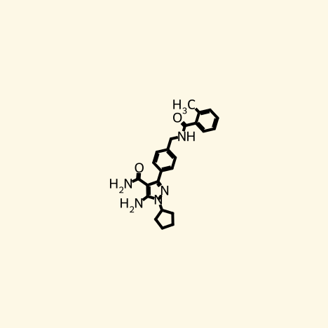 Cc1ccccc1C(=O)NCc1ccc(-c2nn(C3CCCC3)c(N)c2C(N)=O)cc1